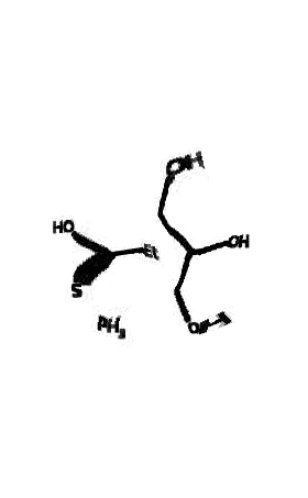 CCC(O)=S.OCC(O)CO.P